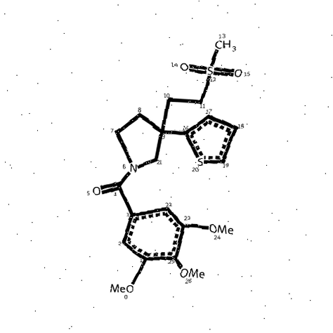 COc1cc(C(=O)N2CCC(CCS(C)(=O)=O)(c3cccs3)C2)cc(OC)c1OC